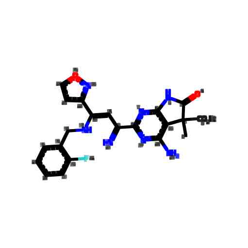 CCOC(=O)C1(C)C(=O)Nc2nc(C(=N)/C=C(\NCc3ccccc3F)c3ccon3)nc(N)c21